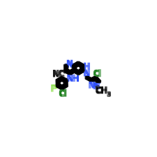 Cn1cc(Cl)c(CNc2ccc3ncc(C#N)c(Nc4ccc(F)c(Cl)c4)c3c2)n1